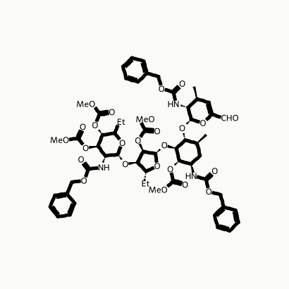 CCC1O[C@H](O[C@H]2[C@@H](OC(=O)OC)[C@H](O[C@@H]3[C@@H](OC(=O)OC)[C@H](NC(=O)OCc4ccccc4)C[C@H](C)[C@H]3O[C@H]3OC(C=O)=C[C@H](C)[C@H]3NC(=O)OCc3ccccc3)O[C@@H]2CC)[C@H](NC(=O)OCc2ccccc2)[C@@H](OC(=O)OC)[C@@H]1OC(=O)OC